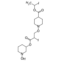 CC(I)OC(=O)C1CCN(OCC(I)C(=O)OC2CCCN(O)C2)CC1